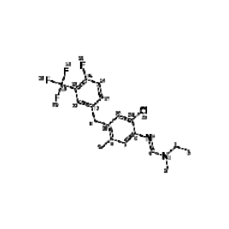 CCN(C)C=Nc1cc(C)c(Cc2ccc(F)c(C(F)(F)F)c2)cc1Cl